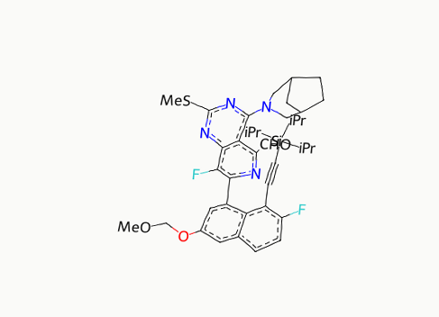 COCOc1cc(-c2nc(C=O)c3c(N4CC5CCC(C5)C4)nc(SC)nc3c2F)c2c(C#C[Si](C(C)C)(C(C)C)C(C)C)c(F)ccc2c1